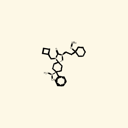 CCCCOC1(CCN2C[C@]3(CC[C@](c4ccccc4)(N(C)C)CC3)N(CC3CCC3)C2=O)CCCCC1